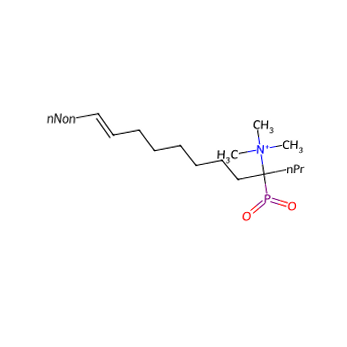 CCCCCCCCCC=CCCCCCCC(CCC)(P(=O)=O)[N+](C)(C)C